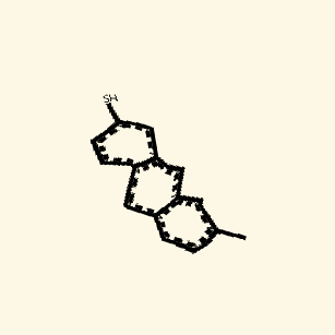 Cc1ccc2cc3ccc(S)cc3cc2c1